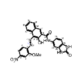 COc1cc([N+](=O)[O-])ccc1/N=N/c1c(O)c(C(=O)Nc2ccc3[nH]c(=O)[nH]c3c2)cc2ccccc12